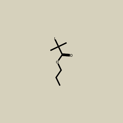 CCCOC(=O)C(C)(C)I